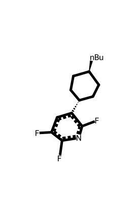 CCCC[C@H]1CC[C@H](c2cc(F)c(F)nc2F)CC1